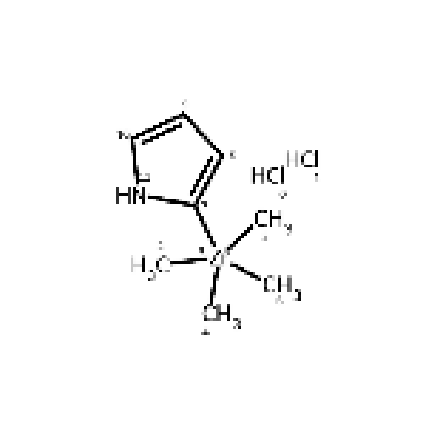 Cl.Cl.[CH3][Zr]([CH3])([CH3])([CH3])[c]1ccc[nH]1